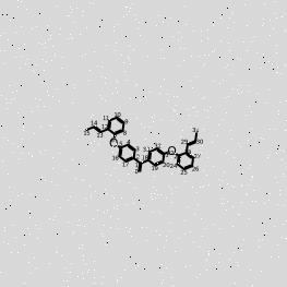 C=C(c1ccc(Oc2ccccc2/C=C/C)cc1)c1ccc(Oc2ccccc2/C=C/C)cc1